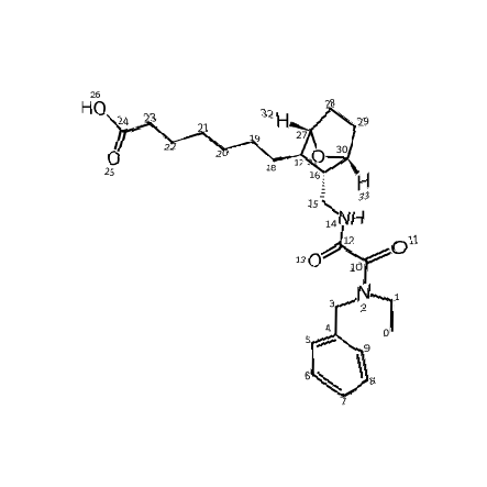 CCN(Cc1ccccc1)C(=O)C(=O)NC[C@@H]1[C@@H](CCCCCCC(=O)O)[C@@H]2CC[C@H]1O2